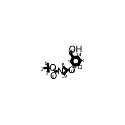 CC(C)(C)OC(=O)N1CC(Oc2cccc(CO)c2)C1